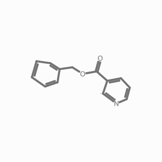 O=C(OCc1ccccc1)c1[c]nccc1